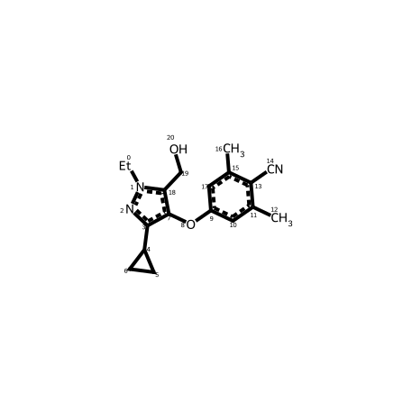 CCn1nc(C2CC2)c(Oc2cc(C)c(C#N)c(C)c2)c1CO